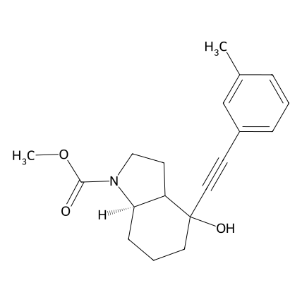 COC(=O)N1CCC2[C@H]1CCCC2(O)C#Cc1cccc(C)c1